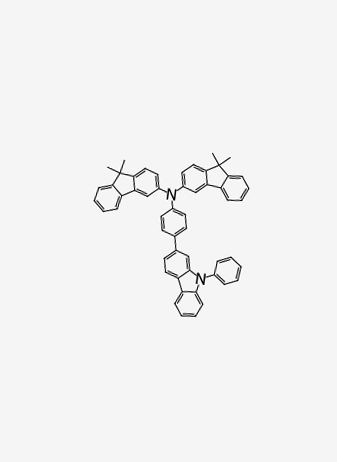 CC1(C)c2ccccc2-c2cc(N(c3ccc(-c4ccc5c6ccccc6n(-c6ccccc6)c5c4)cc3)c3ccc4c(c3)-c3ccccc3C4(C)C)ccc21